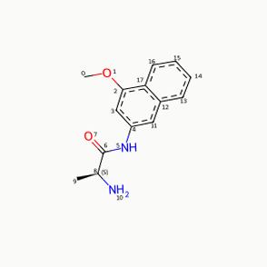 COc1cc(NC(=O)[C@H](C)N)cc2ccccc12